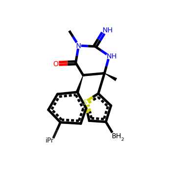 Bc1csc([C@@]2(C)NC(=N)N(C)C(=O)[C@@H]2c2ccc(C(C)C)cc2)c1